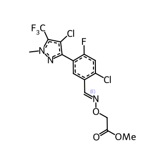 COC(=O)CO/N=C/c1cc(-c2nn(C)c(C(F)(F)F)c2Cl)c(F)cc1Cl